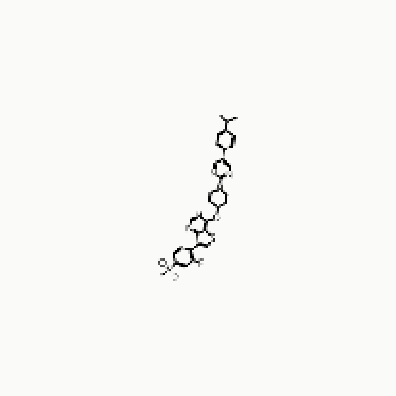 CC(C)c1ccc(-c2cnc(N3CCC(Oc4ncnc5c(-c6ccc(S(C)(=O)=O)cc6F)csc45)CC3)nc2)cc1